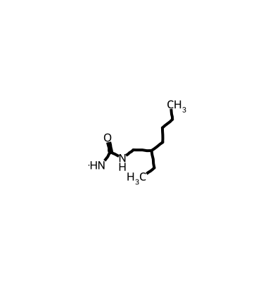 CCCCC(CC)CNC([NH])=O